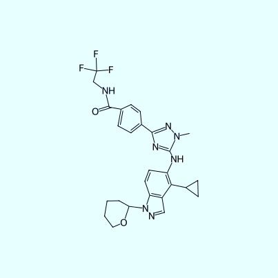 Cn1nc(-c2ccc(C(=O)NCC(F)(F)F)cc2)nc1Nc1ccc2c(cnn2C2CCCCO2)c1C1CC1